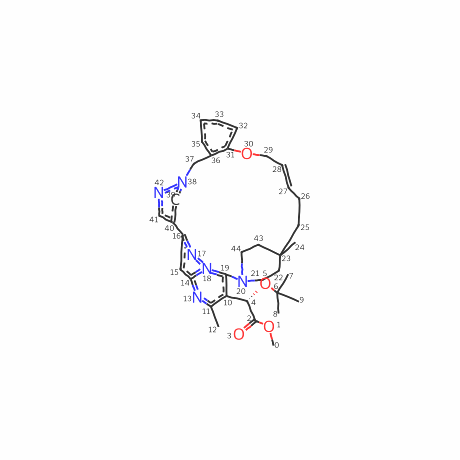 COC(=O)[C@@H](OC(C)(C)C)c1c(C)nc2cc3nn2c1N1CCC(C)(CC/C=C/COc2ccccc2Cn2cc-3cn2)CC1